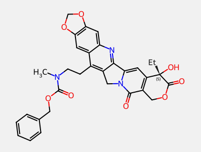 CC[C@@]1(O)C(=O)OCc2c1cc1n(c2=O)Cc2c-1nc1cc3c(cc1c2CCN(C)C(=O)OCc1ccccc1)OCO3